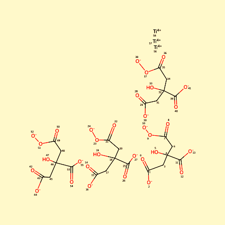 O=C([O-])CC(O)(CC(=O)O[O-])C(=O)[O-].O=C([O-])CC(O)(CC(=O)O[O-])C(=O)[O-].O=C([O-])CC(O)(CC(=O)O[O-])C(=O)[O-].O=C([O-])CC(O)(CC(=O)O[O-])C(=O)[O-].[Ti+4].[Ti+4].[Ti+4]